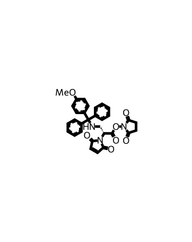 COc1ccc(C(NC[C@H](C(=O)ON2C(=O)CCC2=O)N2C(=O)C=CC2=O)(c2ccccc2)c2ccccc2)cc1